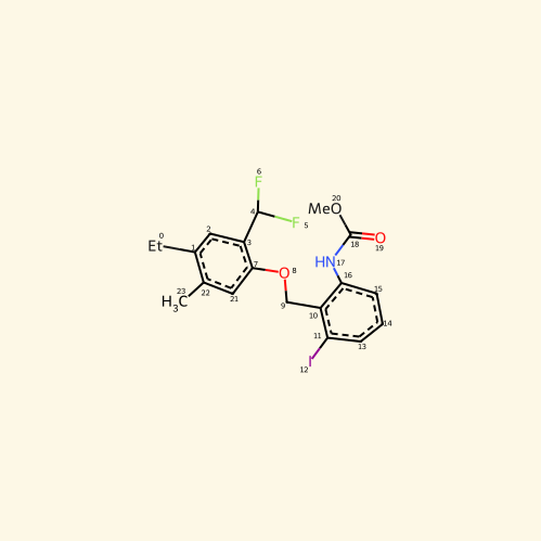 CCc1cc(C(F)F)c(OCc2c(I)cccc2NC(=O)OC)cc1C